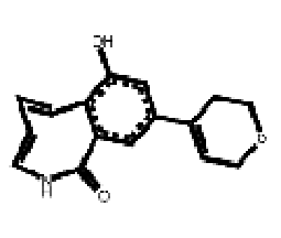 O=C1N/C=C/C=C/c2c(O)cc(C3=CCOCC3)cc21